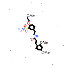 COCCOc1ccc(CCNC(=O)/C=C/c2ccc(OC)cc2OC)cc1S(N)(=O)=O